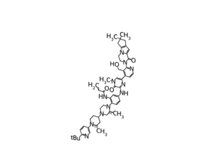 C=CC(=O)Nc1cc(Nc2nc(-c3ccnc(N4CCn5c(cc6c5CC(C)(C)C6)C4=O)c3CO)cn(C)c2=O)ccc1N1CCN(C2CCN(c3ccc(C(C)(C)C)nc3)[C@@H](C)C2)C[C@@H]1C